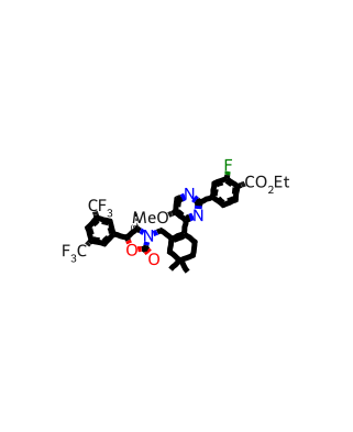 CCOC(=O)c1ccc(-c2ncc(OC)c(C3=C(CN4C(=O)OC(c5cc(C(F)(F)F)cc(C(F)(F)F)c5)[C@@H]4C)CC(C)(C)CC3)n2)cc1F